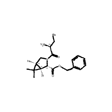 CC(C)(C)C[C@H](N)C(=O)N1C[C@H]2[C@@H]([C@H]1C(=O)OCc1ccccc1)C2(C)C